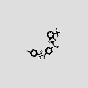 O=S(=O)(Nc1ccc(N(Br)c2nc3c(C(F)(F)F)cccc3o2)cc1)c1ccc(F)cc1